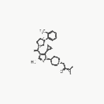 CN(C)C(=O)CN1CCC(n2ncc(C(=O)N3CC[C@@H](c4ccccc4C(F)(F)F)C3)c2C2CC2)CC1.Cl